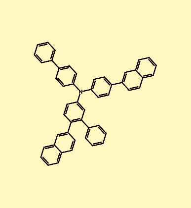 c1ccc(-c2ccc(N(c3ccc(-c4ccc5ccccc5c4)cc3)c3ccc(-c4ccc5ccccc5c4)c(-c4ccccc4)c3)cc2)cc1